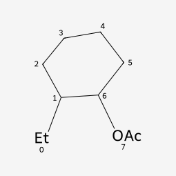 CCC1CCCCC1OC(C)=O